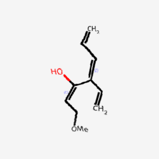 C=C/C=C(C=C)\C(O)=C/COC